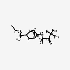 [CH2]COC(=O)C1CC2CC1CC2OC(=O)C(=C)C(F)(F)F